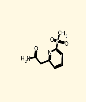 CS(=O)(=O)c1cccc(CC(N)=O)n1